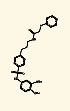 COc1ccc(NS(=O)(=O)c2ccc(CCCNC(=O)CSc3ccncc3)cc2)cc1OC